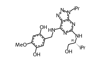 COc1cc(O)c(CNc2nc(N[C@@H](CO)C(C)C)nc3c2nnn3C(C)C)cc1O